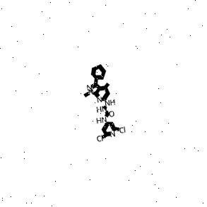 Cc1cc(NNC(=O)Nc2cc(Cl)nc(Cl)c2)nc2c1c(-c1ccccc1)nn2C